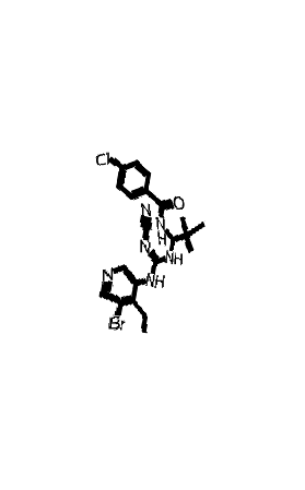 CCc1c(Br)cncc1NC(=NC#N)NC(NC(=O)c1ccc(Cl)cc1)C(C)(C)C